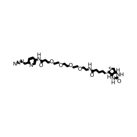 [N-]=[N+]=NCc1ccc(NC(=O)CCOCCOCCOCCOCCNC(=O)CCCC[C@@H]2SC[C@@H]3NC(=O)N[C@@H]32)cn1